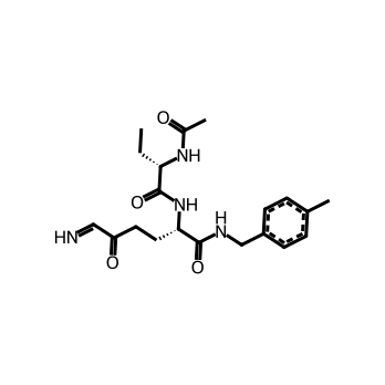 CC[C@H](NC(C)=O)C(=O)N[C@@H](CCC(=O)C=N)C(=O)NCc1ccc(C)cc1